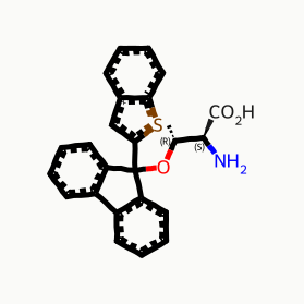 C[C@@H](OC1(c2cc3ccccc3s2)c2ccccc2-c2ccccc21)[C@H](N)C(=O)O